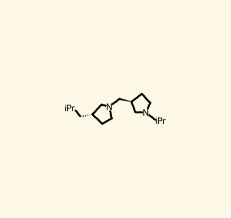 CC(C)C[C@H]1CCN(C[C@H]2CCN(C(C)C)C2)C1